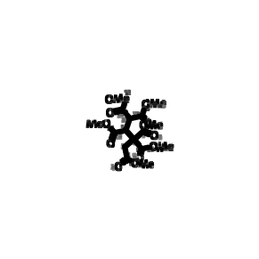 COC(=O)CC(C(=O)OC)(C(=O)OC)C(C(=O)OC)C(C(=O)OC)C(=O)OC